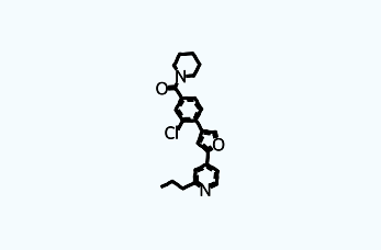 CCCc1cc(-c2cc(-c3ccc(C(=O)N4CCCCC4)cc3Cl)co2)ccn1